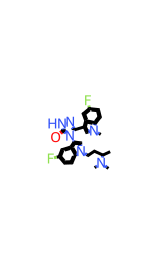 CC(CCn1cc(-n2c(-c3cn(C)c4ccc(F)cc34)n[nH]c2=O)c2cc(F)ccc21)N(C)C